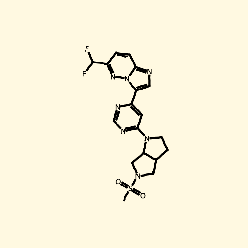 CS(=O)(=O)N1CC2CCN(c3cc(-c4cnc5ccc(C(F)F)nn45)ncn3)C2C1